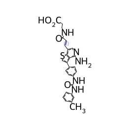 Cc1cccc(NC(=O)Nc2ccc(-c3csc4c(/C=C/C(=O)NCCC(=O)O)cnc(N)c34)cc2)c1